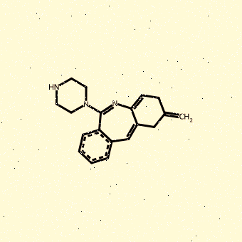 C=C1CC=C2N=C(N3CCNCC3)c3ccccc3C=C2C1